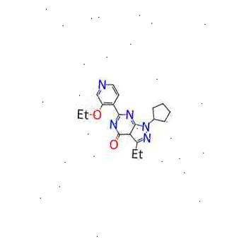 CCOc1cnccc1C1=NC(=O)C2C(CC)=NN(C3CCCC3)C2=N1